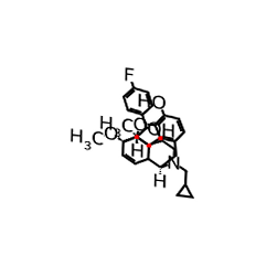 CO[C@]12C=C[C@@]3(C[C@]1(C)[C@@H](O)c1ccc(F)cc1)[C@H]1Cc4ccc(O)c5c4[C@@]3(CCN1CC1CC1)[C@H]2O5